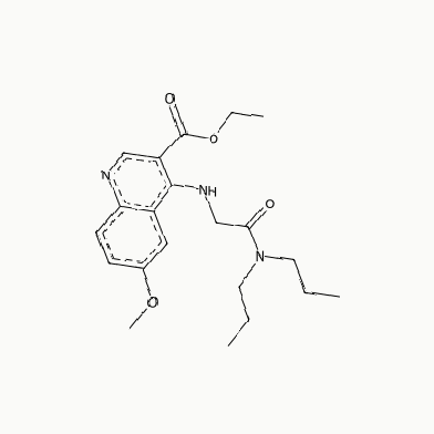 CCCN(CCC)C(=O)CNc1c(C(=O)OCC)cnc2ccc(OC)cc12